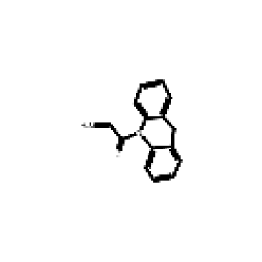 C=CC(=O)N1c2ccccc2Cc2ccccc21